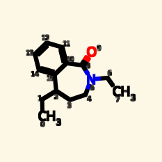 CCC1CCN(CC)C(=O)c2ccccc21